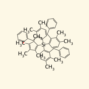 CC1=C(C)C(C)C([Si](c2ccc(C)c(C)c2Cc2ccccc2)(c2ccc(C)c(C)c2Cc2ccccc2)c2ccc(C)c(C)c2Cc2ccccc2)=C1C